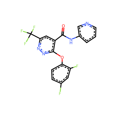 O=C(Nc1cccnc1)c1cc(C(F)(F)F)nnc1Oc1ccc(F)cc1F